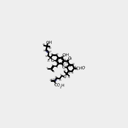 CC(C)=CCc1c2c(c(O)c3c1OC1C(=CC(C=O)CC1C(C)(C)OCC/C=C(/C)C(=O)O)C3=O)C=C[C@@](C)(C/C=C/C(C)(C)O)O2